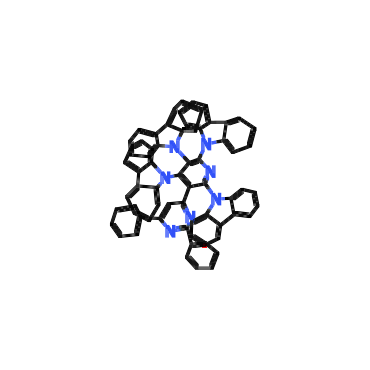 c1ccc(-c2cc(-c3c(-n4c5ccccc5c5ccccc54)nc(-n4c5ccccc5c5ccccc54)c(-n4c5ccccc5c5ccccc54)c3-n3c4ccccc4c4ccccc43)nc(-c3ccccc3)n2)cc1